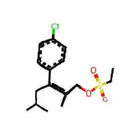 CCS(=O)(=O)OCC(C)=C(CC(C)C)c1ccc(Cl)cc1